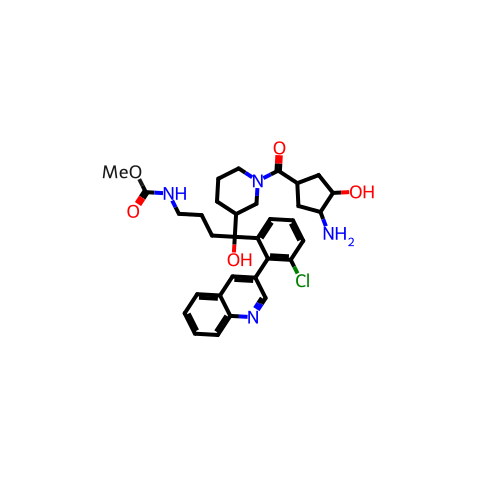 COC(=O)NCCCC(O)(c1cccc(Cl)c1-c1cnc2ccccc2c1)C1CCCN(C(=O)C2CC(N)C(O)C2)C1